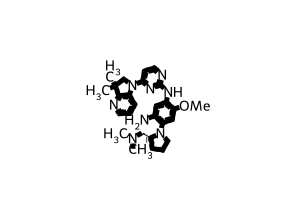 COc1cc(N2CCC[C@@H]2CN(C)C)c(N)cc1Nc1nccc(N2CC(C)(C)c3ncccc32)n1